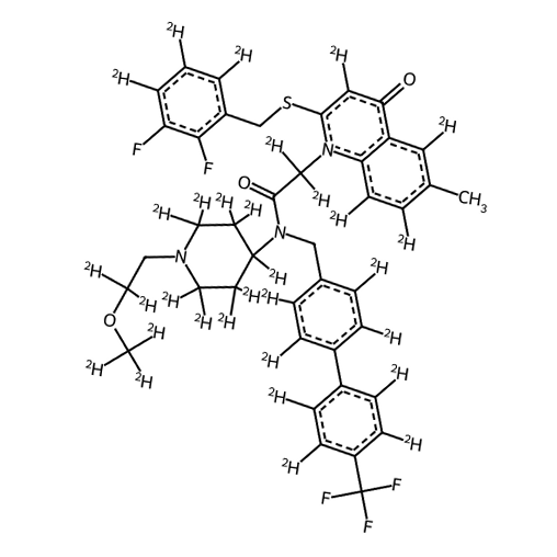 [2H]c1c([2H])c(F)c(F)c(CSc2c([2H])c(=O)c3c([2H])c(C)c([2H])c([2H])c3n2C([2H])([2H])C(=O)N(Cc2c([2H])c([2H])c(-c3c([2H])c([2H])c(C(F)(F)F)c([2H])c3[2H])c([2H])c2[2H])C2([2H])C([2H])([2H])C([2H])([2H])N(CC([2H])([2H])OC([2H])([2H])[2H])C([2H])([2H])C2([2H])[2H])c1[2H]